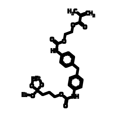 C=C(C)C(=O)OCCOC(=O)Nc1ccc(Cc2ccc(NC(=O)OCCC[Si](OCC)(OCC)OCC)cc2)cc1